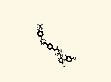 COc1ccc(N2C(=O)CSC2=NC(=O)NC(C)Cc2ccc(-c3ncn(-c4ccc(OC(F)(F)F)cc4)n3)cc2)c(C)c1